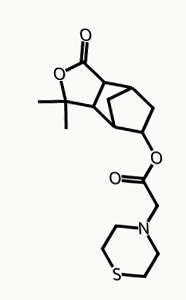 CC1(C)OC(=O)C2C3CC(OC(=O)CN4CCSCC4)C(C3)C21